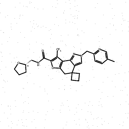 Cc1ccc(Cn2cc3c(n2)-c2c(oc(C(=O)NC[C@@H]4CCCO4)c2C(F)(F)F)CC32CCC2)nc1